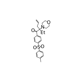 C=CCC(CC)(C(=O)c1ccc(S(=O)(=O)c2ccc(C)cc2)cc1)N1CCOCC1